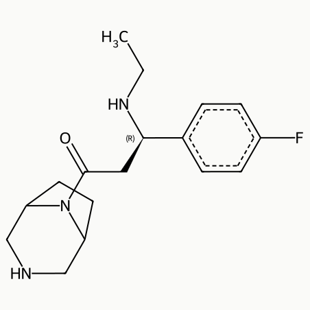 CCN[C@H](CC(=O)N1C2CCC1CNC2)c1ccc(F)cc1